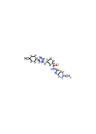 CN1CCc2nc(NC(=O)c3cccc(Cn4cc(-c5ccc(C#N)cc5)nn4)c3)sc2C1